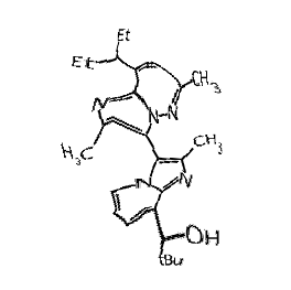 CCC(CC)c1cc(C)nn2c(-c3c(C)nc4c(C(O)C(C)(C)C)cccn34)c(C)nc12